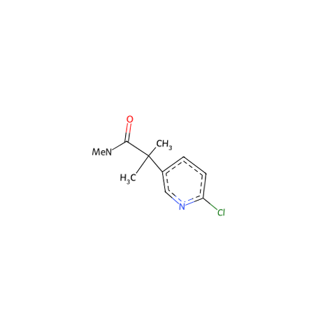 CNC(=O)C(C)(C)c1ccc(Cl)nc1